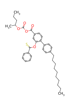 CCCCCCCCCCc1ccc(-c2ccc(C(=O)OC(=O)OC(C)CCC)cc2OC(=S)c2ccccc2)cc1